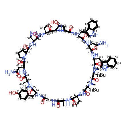 CCCC[C@H]1C(=O)N(C)[C@@H](CCCC)C(=O)N[C@@H](CC(C)C)C(=O)N[C@@H](C)C(=O)NCC(=O)N[C@@H](Cc2ccc(O)cc2)C(=O)N(C)[C@@H](C)C(=O)N[C@@H](CC(N)=O)C(=O)N2CCC[C@H]2C(=O)N[C@@H](CN)C(=O)N[C@@H](CC(C)C)C(=O)C2N[C@@H](C[C@H]2O)C(=O)N[C@@H](Cc2c[nH]c3ccccc23)C(=O)N[C@@H](CCN)C(=O)N[C@@H](Cc2c[nH]c3ccccc23)C(=O)N1C